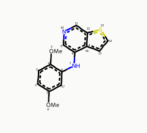 COc1ccc(OC)c(Nc2cncc3sccc23)c1